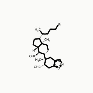 CC(C)CCCC(C)[C@H]1CC[C@H]2[C@H](C=O)[C@@H]([C@@]3(C)Cc4cnoc4C[C@@H]3C=O)CC[C@]12C